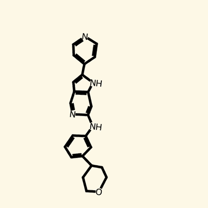 c1cc(Nc2cc3[nH]c(-c4ccncc4)cc3cn2)cc(C2CCOCC2)c1